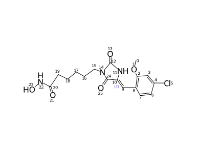 COc1cc(Cl)ccc1/C=C1\NC(=O)N(CCCCCC(=O)NO)C1=O